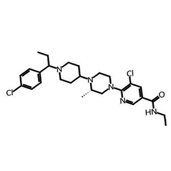 CCNC(=O)c1cnc(N2CCN(C3CCN(C(CC)c4ccc(Cl)cc4)CC3)[C@@H](C)C2)c(Cl)c1